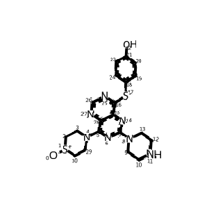 [O-][S+]1CCN(c2nc(N3CCNCC3)nc3c(Sc4ccc(O)cc4)ncnc23)CC1